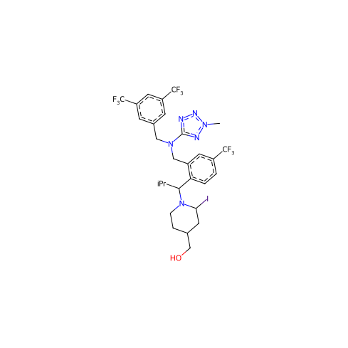 CC(C)C(c1ccc(C(F)(F)F)cc1CN(Cc1cc(C(F)(F)F)cc(C(F)(F)F)c1)c1nnn(C)n1)N1CCC(CO)CC1I